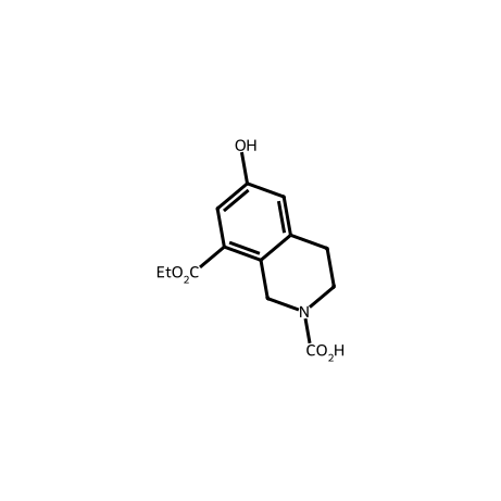 CCOC(=O)c1cc(O)cc2c1CN(C(=O)O)CC2